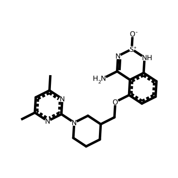 Cc1cc(C)nc(N2CCCC(COc3cccc4c3C(N)=N[S+]([O-])N4)C2)n1